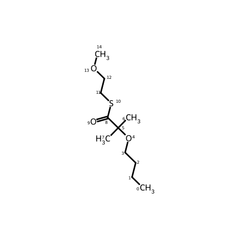 CCCCOC(C)(C)C(=O)SCCOC